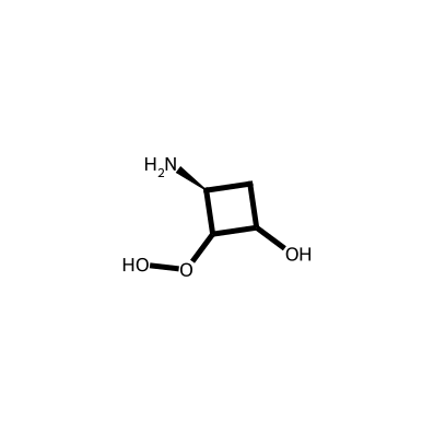 N[C@H]1CC(O)C1OO